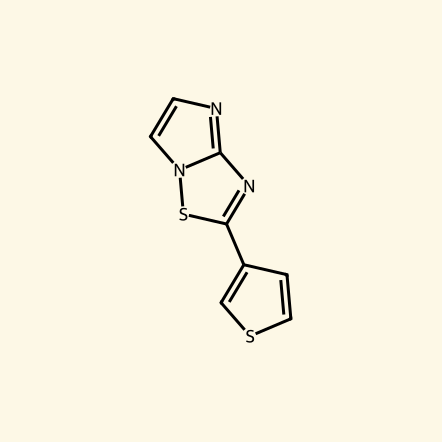 c1cn2sc(-c3ccsc3)nc2n1